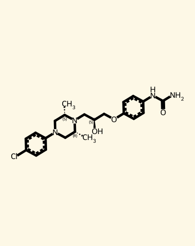 C[C@@H]1CN(c2ccc(Cl)cc2)C[C@H](C)N1C[C@H](O)COc1ccc(NC(N)=O)cc1